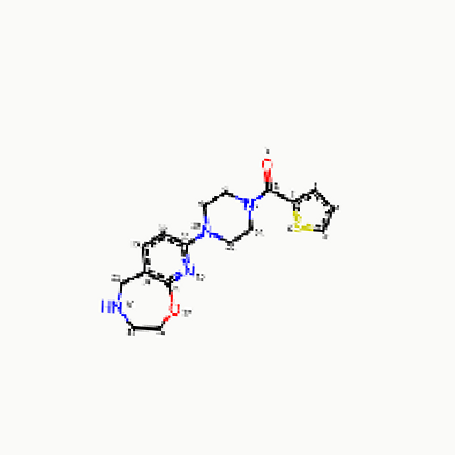 O=C(c1cccs1)N1CCN(c2ccc3c(n2)OCCNC3)CC1